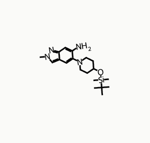 Cn1cc2cc(N3CCC(O[Si](C)(C)C(C)(C)C)CC3)c(N)cc2n1